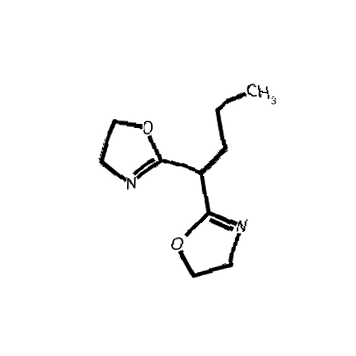 CCCC(C1=NCCO1)C1=NCCO1